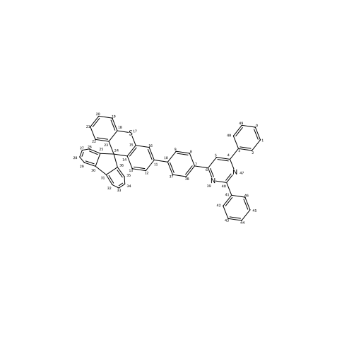 c1ccc(-c2cc(-c3ccc(-c4ccc5c(c4)Sc4ccccc4C54c5ccccc5-c5ccccc54)cc3)nc(-c3ccccc3)n2)cc1